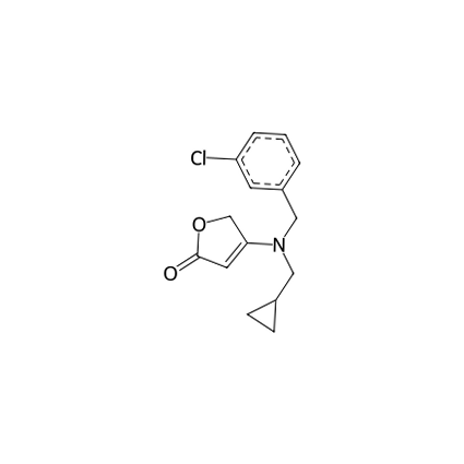 O=C1C=C(N(Cc2cccc(Cl)c2)CC2CC2)CO1